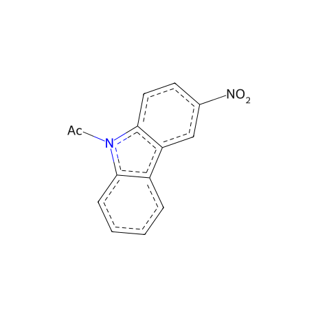 CC(=O)n1c2ccccc2c2cc([N+](=O)[O-])ccc21